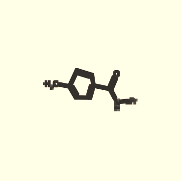 [CH2]c1ccc(C(=O)NCCC)cc1